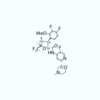 COc1c([C@H]2[C@H](C(=O)Nc3cc([C@H]4CN(C)CCO4)ncc3F)O[C@@](C)(C(F)(F)F)[C@H]2C)ccc(F)c1F